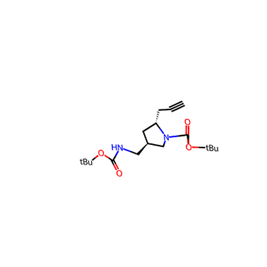 C#CC[C@H]1C[C@H](CNC(=O)OC(C)(C)C)CN1C(=O)OC(C)(C)C